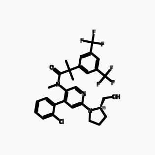 CN(C(=O)C(C)(C)c1cc(C(F)(F)F)cc(C(F)(F)F)c1)c1cnc(N2CCC[C@@H]2CO)cc1-c1ccccc1Cl